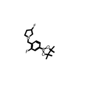 CC1(C)OB(c2ccc(CN3CCC(F)C3)c(F)c2)OC1(C)C